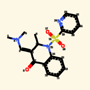 CC1C(=CN(C)C)C(=O)c2ccccc2N1S(=O)(=O)c1ccccn1